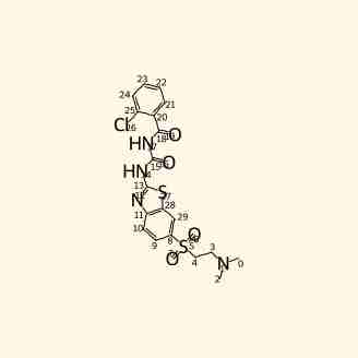 CN(C)CCS(=O)(=O)c1ccc2nc(NC(=O)NC(=O)c3ccccc3Cl)sc2c1